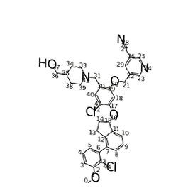 COc1cccc(-c2cccc3c2CC[C@@H]3Oc2cc(OCc3cncc(C#N)c3)c(CN3CCC(CO)CC3)cc2Cl)c1Cl